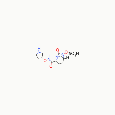 O=C(NOC1CCNC1)[C@@H]1CC[C@@H]2CN1C(=O)N2OS(=O)(=O)O